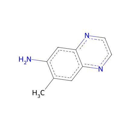 Cc1cc2nccnc2cc1N